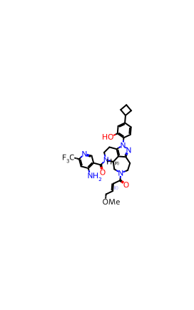 COC/C=C/C(=O)N1CCc2nn(-c3ccc(C4CCC4)cc3O)c3c2[C@H](C1)N(C(=O)c1cnc(C(F)(F)F)cc1N)CC3